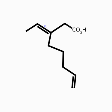 C=CCCC/C(=C\C)CC(=O)O